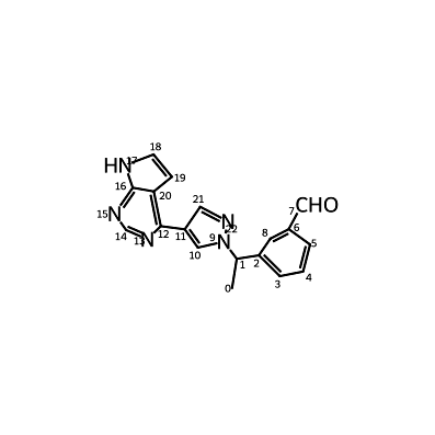 CC(c1cccc(C=O)c1)n1cc(-c2ncnc3[nH]ccc23)cn1